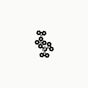 c1ccc([Si](c2ccccc2)(c2ccc(-n3c4ccccc4c4ccccc43)cc2)c2cccc(-c3nc(-n4c5ccccc5c5ccccc54)cc(-n4c5ccccc5c5ccccc54)n3)c2)cc1